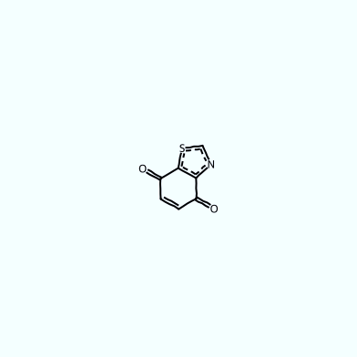 O=C1C=CC(=O)c2scnc21